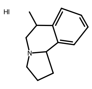 CC1CN2CCCC2c2ccccc21.I